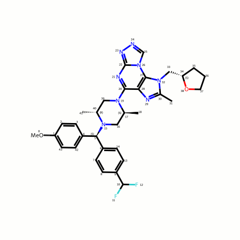 COc1ccc([C@H](c2ccc(C(F)F)cc2)N2C[C@H](C)N(c3nc4nncn4c4c3nc(C)n4C[C@@H]3CCCO3)C[C@H]2C)cc1